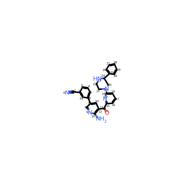 N#Cc1cccc(-c2cnc(N)c(C(=O)c3cccc(N4CCNC(c5ccccc5)C4)n3)c2)c1